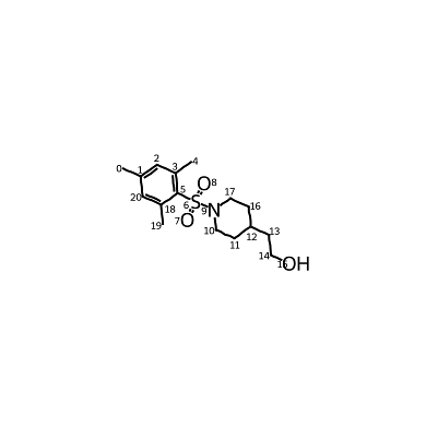 Cc1cc(C)c(S(=O)(=O)N2CCC(CCO)CC2)c(C)c1